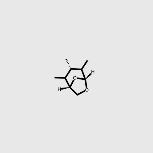 CC1[C@@H]2OC[C@@H](O2)C(C)[C@@H]1C